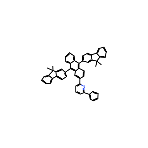 CC1(C)c2ccccc2-c2ccc(-c3c4ccccc4c(-c4ccc5c(c4)C(C)(C)c4ccccc4-5)c4cc(-c5cccc(-c6ccccc6)n5)ccc34)cc21